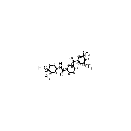 CC1(C)CCC(NC(=O)C2CCCN(C(=O)c3cc(C(F)(F)F)cc(C(F)(F)F)c3)C2)CC1